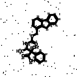 CC(NC(=O)OCc1cccc2c1Cc1ccccc1-2)C(O)(C(=O)O)c1ccccc1